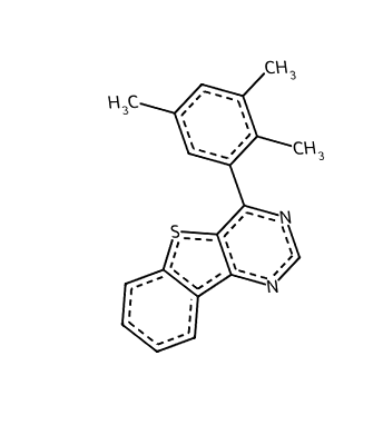 Cc1cc(C)c(C)c(-c2ncnc3c2sc2ccccc23)c1